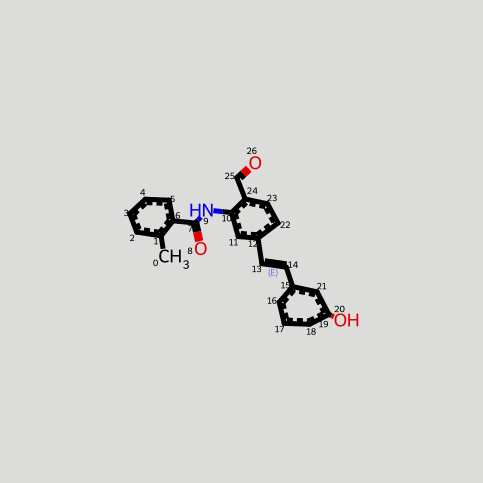 Cc1ccccc1C(=O)Nc1cc(/C=C/c2cccc(O)c2)ccc1C=O